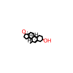 CC1C=C2CC(O)CC[C@]2(C)[C@@H]2CC[C@]3(C)C(=O)CC[C@H]3[C@H]12